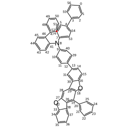 c1ccc(-c2ccc(N(c3ccc(-c4ccc5oc6c(-c7ccccc7)c7c(cc6c5c4)oc4ccccc47)cc3)c3ccccc3-c3ccccc3)cc2)cc1